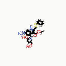 CCOC(=O)c1c(CSc2ccccc2)n(C)c2cc(N)c(O)c(CN3CCCC(CO)C3)c12